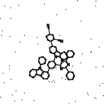 N#Cc1ccc(-c2ccc3c(c2)c2ccccc2n3-c2ccc(-c3cccc4c5ccccc5n(-c5ccccc5)c34)cc2-c2nc(-c3ccccc3)nc(-c3ccccc3)n2)c(C#N)c1